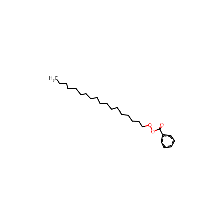 CCCCCCCCCCCCCCCCCCOOC(=O)c1ccccc1